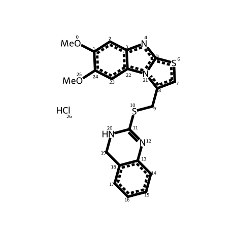 COc1cc2nc3scc(CSC4=Nc5ccccc5CN4)n3c2cc1OC.Cl